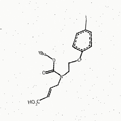 CC(C)(C)OC(=O)N(CC=CC(=O)O)CCOc1ccc(I)cc1